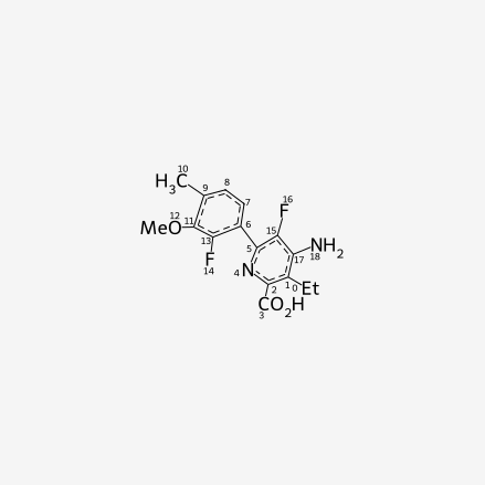 CCc1c(C(=O)O)nc(-c2ccc(C)c(OC)c2F)c(F)c1N